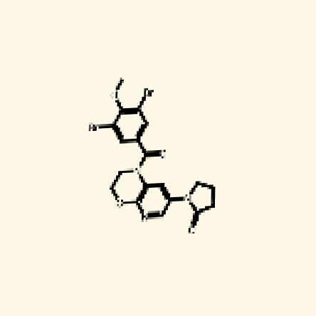 COc1c(Br)cc(C(=O)N2CCOc3ncc(N4CCCC4=O)cc32)cc1Br